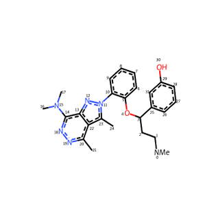 CNCCC(Oc1ccccc1-n1nc2c(N(C)C)nnc(C)c2c1C)c1cccc(O)c1